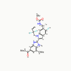 C=CC(F)(F)Cn1c(-c2nc3cc(C(=O)OC)cc(OC)c3n2C)cc2cc(F)c([C@@H](C)NC(=O)OC(C)(C)C)cc21